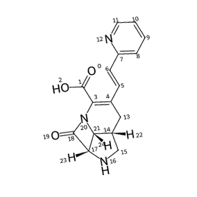 O=C(O)C1=C(/C=C/c2ccccn2)C[C@@H]2CN[C@@H]3C(=O)N1[C@H]23